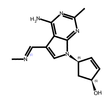 C/N=C/c1cn([C@H]2C=C[C@@H](O)C2)c2nc(C)nc(N)c12